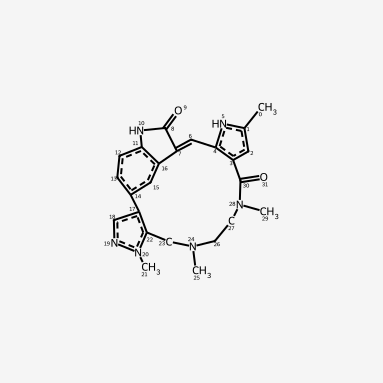 Cc1cc2c([nH]1)/C=C1\C(=O)Nc3ccc(cc31)-c1cnn(C)c1CN(C)CCN(C)C2=O